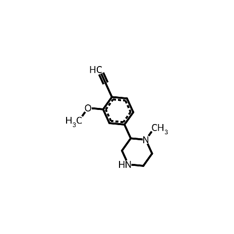 C#Cc1ccc(C2CNCCN2C)cc1OC